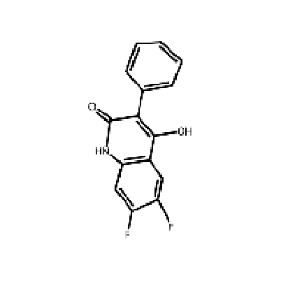 O=c1[nH]c2cc(F)c(F)cc2c(O)c1-c1ccccc1